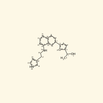 CC(O)c1ccc(-c2ccc3ncnc(NCCc4c[nH]cn4)c3c2)o1